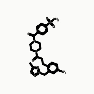 Cc1nnn(Cc2cc(C(F)(F)F)ccc2CCC(=O)N2CCN(C(=O)c3ccc(S(N)(=O)=O)cc3)CC2)n1